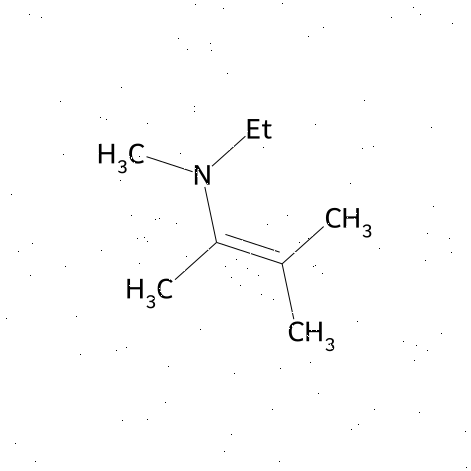 CCN(C)C(C)=C(C)C